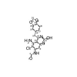 Nc1c(Cl)c(NC=O)cc2nc(O)nc(Cc3ccc4c(c3)OCO4)c12